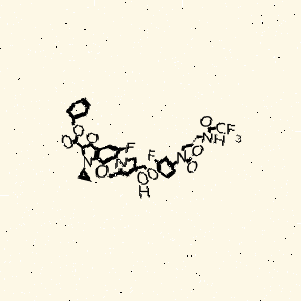 O=C(OCc1ccccc1)c1cn(C2CC2)c2c3c(c(F)cc2c1=O)N1CC(O)(COc2ccc(N4C[C@H](CNC(=O)C(F)(F)F)OC4=O)cc2F)CC1CO3